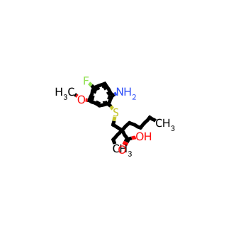 CCCCC(CC)(CSc1cc(OC)c(F)cc1N)C(=O)O